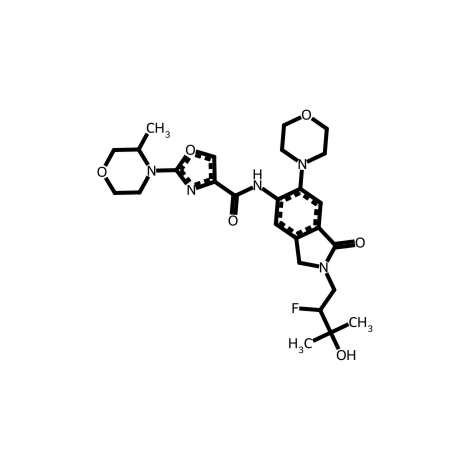 CC1COCCN1c1nc(C(=O)Nc2cc3c(cc2N2CCOCC2)C(=O)N(CC(F)C(C)(C)O)C3)co1